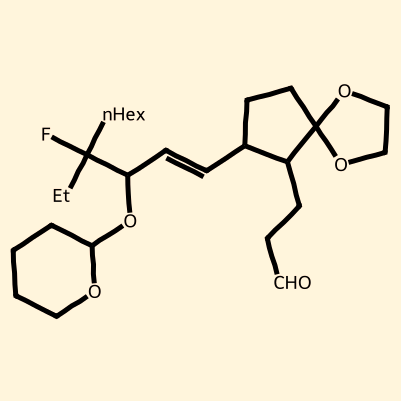 CCCCCCC(F)(CC)C(C=CC1CCC2(OCCO2)C1CCC=O)OC1CCCCO1